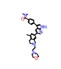 Cc1cc(-c2cnc3[nH]cc(-c4ccc(C(=O)N(C)C)cc4)c3c2)cc2c1CCN(CCN1CCOCC1)C2